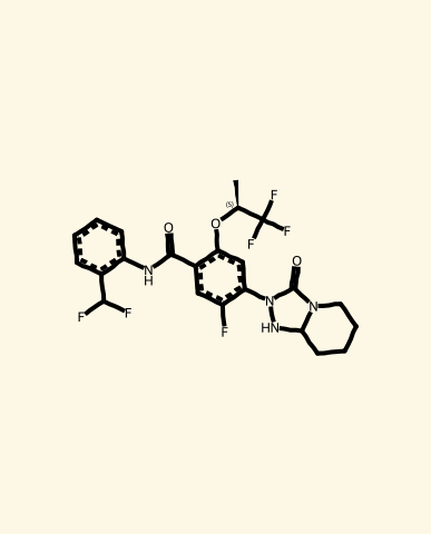 C[C@H](Oc1cc(N2NC3CCCCN3C2=O)c(F)cc1C(=O)Nc1ccccc1C(F)F)C(F)(F)F